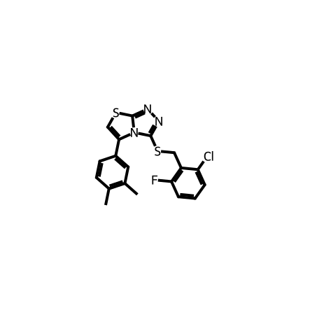 Cc1ccc(-c2csc3nnc(SCc4c(F)cccc4Cl)n23)cc1C